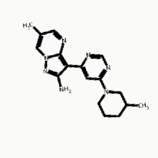 Cc1cnc2c(-c3cc(N4CCCC(C)C4)ncn3)c(N)nn2c1